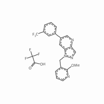 COc1ncccc1Cn1ncc2ncc(-c3cccc(C(F)(F)F)c3)cc21.O=C(O)C(F)(F)F